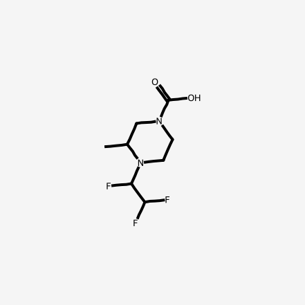 CC1CN(C(=O)O)CCN1C(F)C(F)F